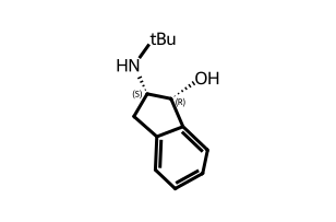 CC(C)(C)N[C@H]1Cc2ccccc2[C@H]1O